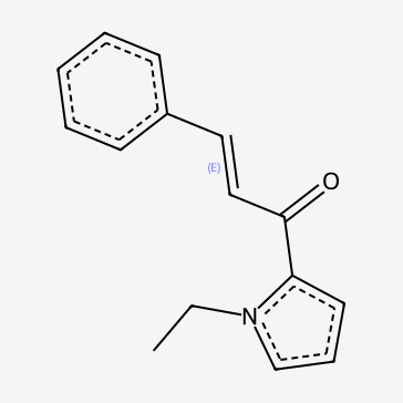 CCn1cccc1C(=O)/C=C/c1ccccc1